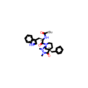 CN(C)N(C)C(=O)[C@@]1(Cc2ccccc2)CCCN(C(=O)[C@@H](Cc2c[nH]c3ccccc23)NC(=O)C(C)(C)C)C1